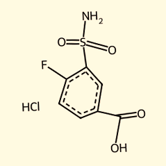 Cl.NS(=O)(=O)c1cc(C(=O)O)ccc1F